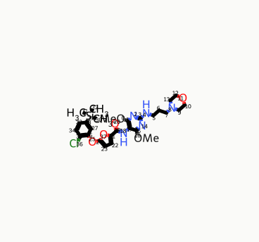 COc1nc(NCCCN2CCOCC2)nc(OC)c1NC(=O)c1ccc(Oc2cc([Si](C)(C)C)ccc2Cl)o1